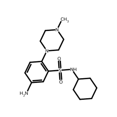 CN1CCN(c2ccc(N)cc2S(=O)(=O)NC2CCCCC2)CC1